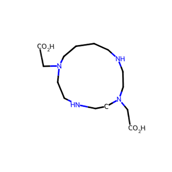 O=C(O)CN1CCCCNCCN(CC(=O)O)CCNCC1